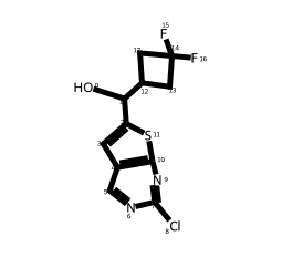 OC(c1cc2cnc(Cl)nc2s1)C1CC(F)(F)C1